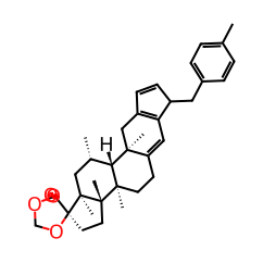 Cc1ccc(CC2C=CC3=C2C=C2CC[C@]4(C)[C@H]([C@@H](C)C[C@@]5(C)[C@@]4(C)CC[C@@]54OCOC45COCO5)[C@@]2(C)C3)cc1